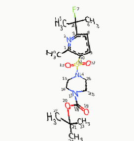 Cc1nc(C(C)(C)F)ccc1S(=O)(=O)N1CCN(C(=O)OC(C)(C)C)CC1